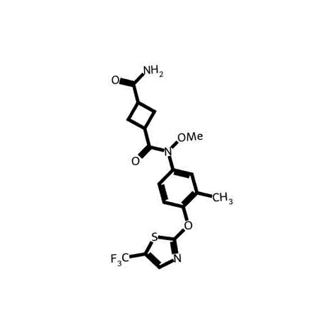 CON(C(=O)C1CC(C(N)=O)C1)c1ccc(Oc2ncc(C(F)(F)F)s2)c(C)c1